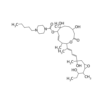 CCCCCN1CCN(C(=O)OC2/C=C/C(C)C(/C(C)=C/C=C/C(C)(O)CC3OC3C(C)C(O)CC)OC(=O)CC(O)CCC2(C)O)CC1